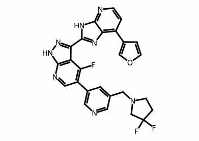 Fc1c(-c2cncc(CN3CCC(F)(F)C3)c2)cnc2[nH]nc(-c3nc4c(-c5ccoc5)ccnc4[nH]3)c12